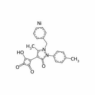 Cc1ccc(-n2c(=O)c(-c3c(O)c(=O)c3=O)c(C)n2Cc2ccccc2)cc1.[Ni]